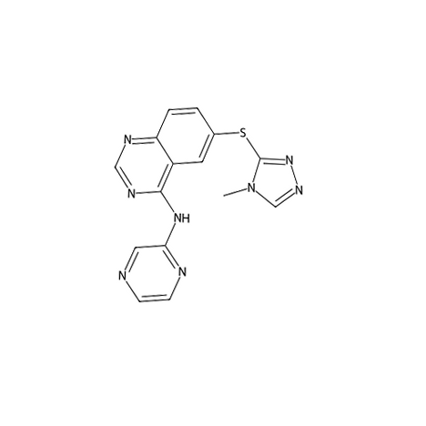 Cn1cnnc1Sc1ccc2ncnc(Nc3cnccn3)c2c1